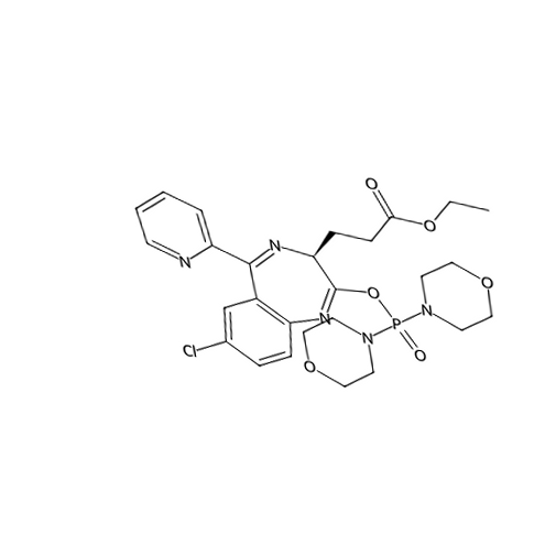 CCOC(=O)CC[C@@H]1N=C(c2ccccn2)c2cc(Cl)ccc2N=C1OP(=O)(N1CCOCC1)N1CCOCC1